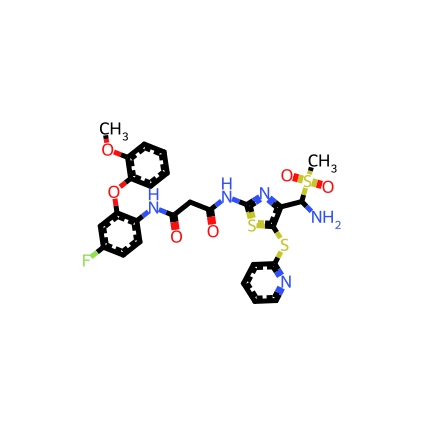 COc1ccccc1Oc1cc(F)ccc1NC(=O)CC(=O)Nc1nc(C(N)S(C)(=O)=O)c(Sc2ccccn2)s1